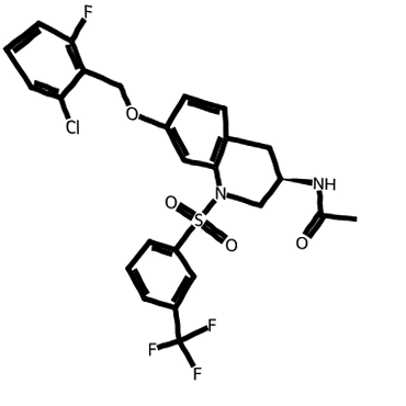 CC(=O)N[C@@H]1Cc2ccc(OCc3c(F)cccc3Cl)cc2N(S(=O)(=O)c2cccc(C(F)(F)F)c2)C1